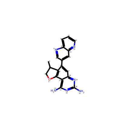 CC1COc2c1c(-c1cnc3cccnc3c1)cc1nc(N)nc(N)c21